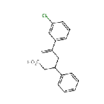 C=C(CC(CC(=O)O)c1ccccc1)c1cccc(Cl)c1